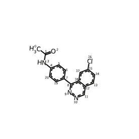 CC(=O)Nc1ccc(-c2nncc3ccc(Cl)cc23)cc1